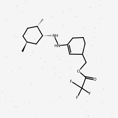 C[C@H]1CC[C@H](C)[C@H](NNC2=CC(COC(=O)C(F)(F)F)CCC2)C1